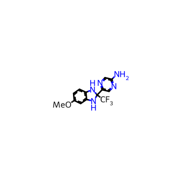 COc1ccc2c(c1)NC(c1cnc(N)cn1)(C(F)(F)F)N2